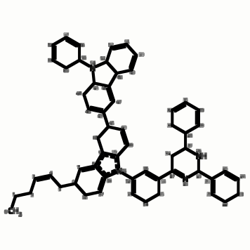 CCC/C=C\CC1C=c2c3c(n(C4=CCCC(C5=NC(C6=CCCC=C6)NC(C6C=CC=CC6)C5)=C4)c2=CC1)C=CC(C1=CCC2C(=C1)C1C=CC=CC1N2C1C=CC=CC1)C3